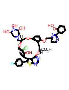 O=C(O)[C@H]1Cc2cc(ccc2OCc2ccnc(-c3ccccc3OO)n2)OC[C@@H](CN2C[C@@H](O)N(O)[C@@H](O)C2)Oc2ccc(c(O)c2Cl)-c2c(-c3ccc(F)cc3)sc3ncnc(c23)O1